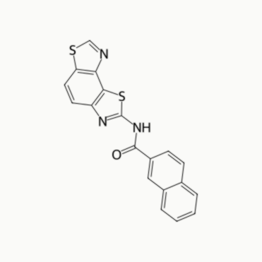 O=C(Nc1nc2ccc3scnc3c2s1)c1ccc2ccccc2c1